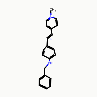 C[n+]1ccc(/C=C/c2ccc(NCc3ccccc3)cc2)cc1